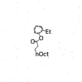 CCCCCCCCCCC(=O)Oc1ccccc1CC